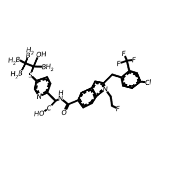 BC(B)(B)C(B)(O)Sc1ccc(C(CO)NC(=O)c2ccc3c(c2)cc(Cc2ccc(Cl)cc2C(F)(F)F)n3CCF)nc1